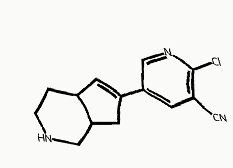 N#Cc1cc(C2=CC3CCNCC3C2)cnc1Cl